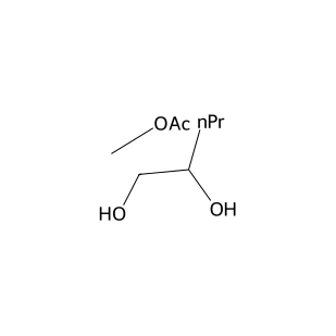 CCCC(O)CO.COC(C)=O